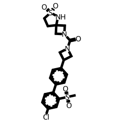 CS(=O)(=O)c1cc(Cl)ccc1-c1ccc(C2CN(C(=O)N3CC4(CCS(=O)(=O)N4)C3)C2)cc1